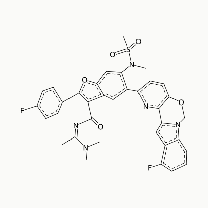 CC(=NC(=O)c1c(-c2ccc(F)cc2)oc2cc(N(C)S(C)(=O)=O)c(-c3ccc4c(n3)-c3cc5c(F)cccc5n3CO4)cc12)N(C)C